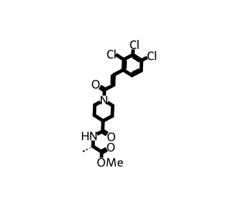 COC(=O)[C@H](C)NC(=O)C1CCN(C(=O)/C=C/c2ccc(Cl)c(Cl)c2Cl)CC1